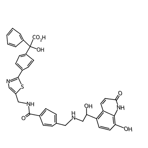 O=C(NCc1cnc(-c2ccc(C(O)(C(=O)O)c3ccccc3)cc2)s1)c1ccc(CNCC(O)c2ccc(O)c3[nH]c(=O)ccc23)cc1